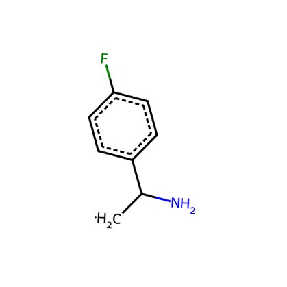 [CH2]C(N)c1ccc(F)cc1